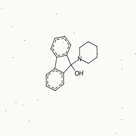 OC1(N2CCCCC2)c2ccccc2-c2ccccc21